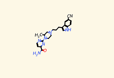 CC1CN(CCCc2c[nH]c3ccc(C#N)cc23)CCN1c1nccc(C(N)=O)n1